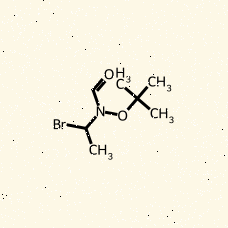 CC(Br)N(C=O)OC(C)(C)C